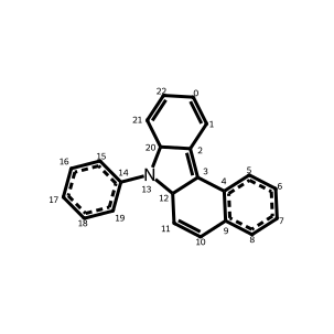 C1=CC2=C3c4ccccc4C=CC3N(c3ccccc3)C2C=C1